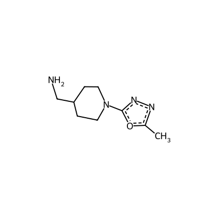 Cc1nnc(N2CCC(CN)CC2)o1